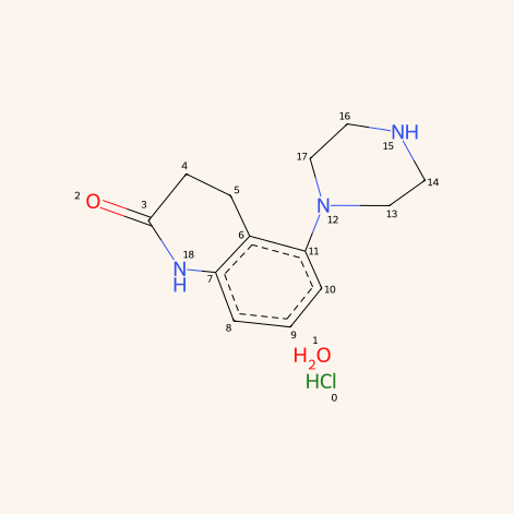 Cl.O.O=C1CCc2c(cccc2N2CCNCC2)N1